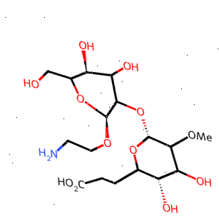 COC1C(O)[C@H](O)C(CCC(=O)O)O[C@@H]1OC1C(O)[C@H](O)C(CO)O[C@@H]1OCCN